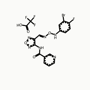 O=C(Nc1nonc1/C=N/ONc1ccc(F)c(Br)c1)c1cccnc1.O=C(O)C(F)(F)F